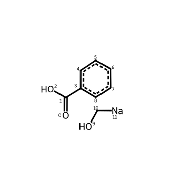 O=C(O)c1ccccc1.O[CH2][Na]